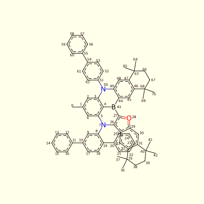 Cc1cc2c3c(c1)N(c1cc(-c4ccccc4)ccc1-c1ccccc1)c1c(oc4cc5c(cc14)C(C)(C)CCC5(C)C)B3c1cc3c(cc1N2c1ccc(-c2ccccc2)cc1)C(C)(C)CCC3(C)C